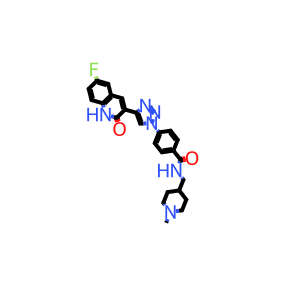 CN1CCC(CNC(=O)c2ccc(-n3cc(-c4cc5cc(F)ccc5[nH]c4=O)nn3)cc2)CC1